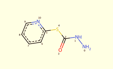 NNC(=O)Sc1ccccn1